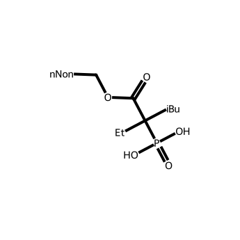 CCCCCCCCCCOC(=O)C(CC)(C(C)CC)P(=O)(O)O